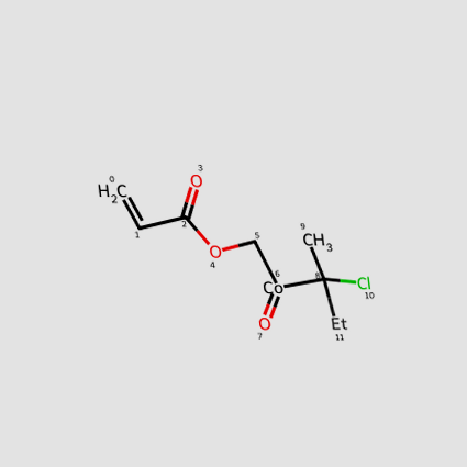 C=CC(=O)O[CH2][Co](=[O])[C](C)(Cl)CC